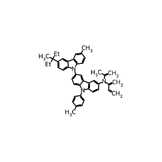 C=CC(=C)N(C(=C)C)c1ccc2c(c1)c1cc(-n3c4ccc(C)cc4c4cc(C(C)(CC)CC)ccc43)ccc1n2-c1ccc(C)cc1